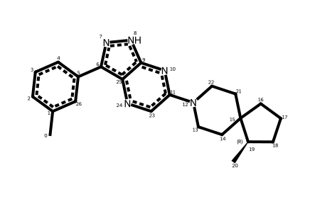 Cc1cccc(-c2n[nH]c3nc(N4CCC5(CCC[C@H]5C)CC4)cnc23)c1